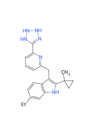 CCc1ccc2c(Cc3cccc(C4=NNNN4)n3)c(C3(C)CC3)[nH]c2c1